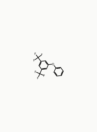 FC(F)(F)c1cc(Oc2[c]cccc2)cc(C(F)(F)F)c1